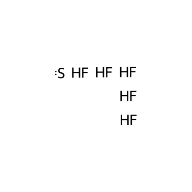 F.F.F.F.F.[S]